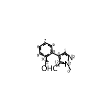 Cn1ncc(-c2ccccc2F)c1C=O